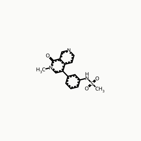 Cn1cc(-c2cccc(NS(C)(=O)=O)c2)c2ccncc2c1=O